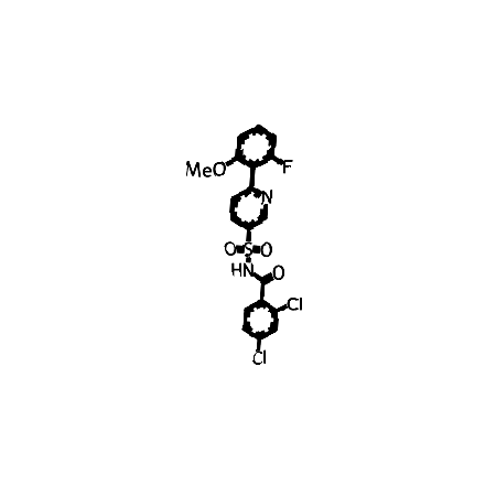 COc1cccc(F)c1-c1ccc(S(=O)(=O)NC(=O)c2ccc(Cl)cc2Cl)cn1